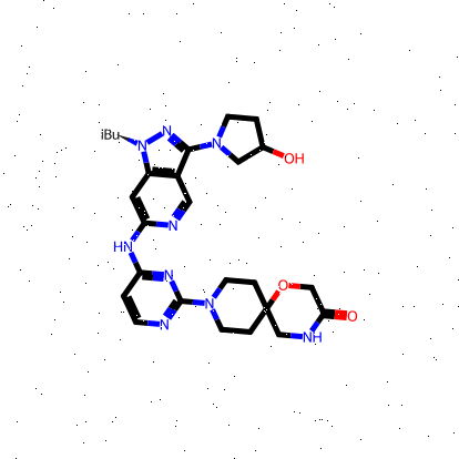 CC[C@H](C)n1nc(N2CCC(O)C2)c2cnc(Nc3ccnc(N4CCC5(CC4)CNC(=O)CO5)n3)cc21